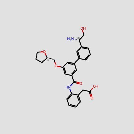 N[C@H](CO)c1cccc(-c2cc(OC[C@@H]3CCCO3)cc(C(=O)Nc3ccccc3CC(=O)O)c2)c1